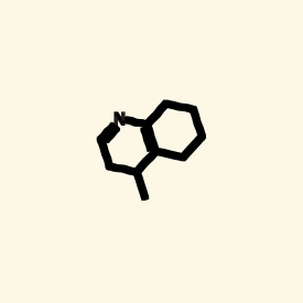 CC1CC=NC2=C1CCCC2